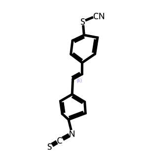 N#CSc1ccc(/C=C/c2ccc(N=C=S)cc2)cc1